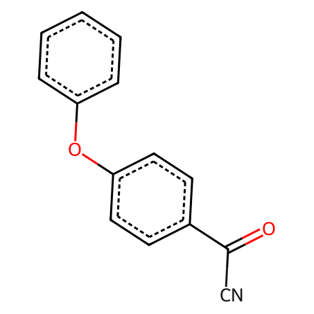 N#CC(=O)c1ccc(Oc2ccccc2)cc1